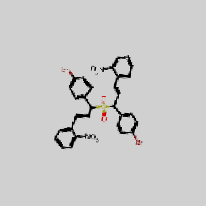 O=[N+]([O-])c1ccccc1C=CC(c1ccc(Br)cc1)S(=O)(=O)C(C=Cc1ccccc1[N+](=O)[O-])c1ccc(Br)cc1